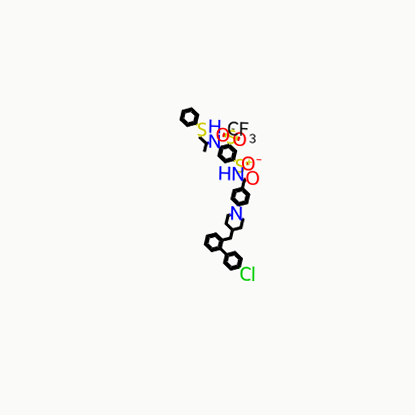 CC(CSc1ccccc1)Nc1ccc([S+]([O-])NC(=O)c2ccc(N3CCC(Cc4ccccc4-c4ccc(Cl)cc4)CC3)cc2)cc1S(=O)(=O)C(F)(F)F